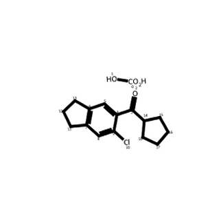 O=C(O)O.O=C(c1cc2c(cc1Cl)CCC2)C1CCCC1